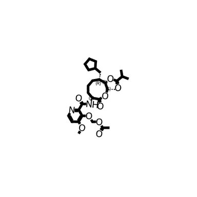 COc1ccnc(C(=O)N[C@H]2CCC[C@H](CC3CCCC3)[C@@H](OC(=O)C(C)C)[C@H](C)OC2=O)c1OCOC(C)=O